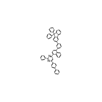 c1ccc(-c2ccc(-c3cc(-c4ccc(-c5cccc(-c6ccc7c(c6)-c6ccccc6C7(c6ccccc6)c6ccccc6)c5)c5ccccc45)nc(-c4ccccc4)n3)cc2)cc1